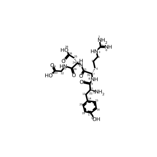 N=C(N)NCCC[C@H](NC(=O)[C@@H](N)Cc1ccc(O)cc1)C(=O)N[C@@H](CC(=O)O)C(=O)NCC(=O)O